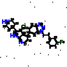 Fc1cccc(CCn2nnc3ccc(-c4ccnc5[nH]c(C6CCNCC6)c(Cl)c45)cc32)c1